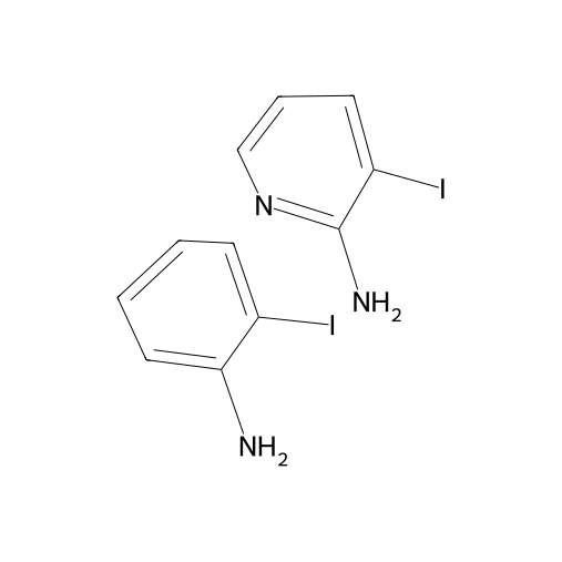 Nc1ccccc1I.Nc1ncccc1I